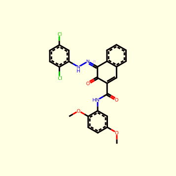 COc1ccc(OC)c(NC(=O)C2=Cc3ccccc3/C(=N/Nc3cc(Cl)ccc3Cl)C2=O)c1